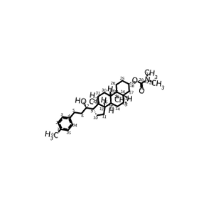 Cc1ccc(CC[C@@H](O)[C@H]2CC[C@H]3[C@@H]4CC[C@H]5C[C@@H](OC(=O)N(C)C)CC[C@]5(C)[C@H]4CC[C@]23C)cc1